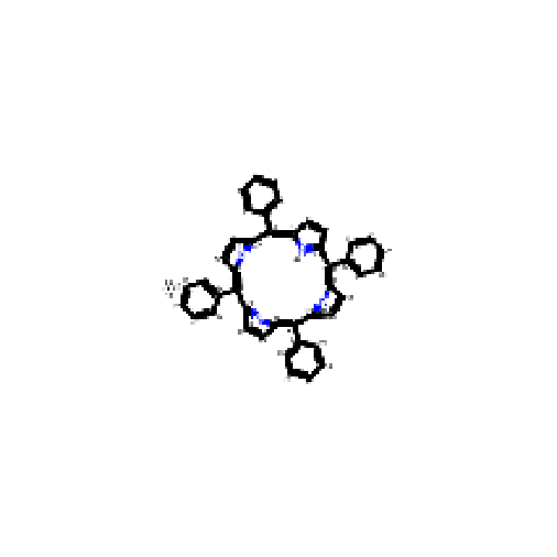 C1=CC2=C(c3ccccc3)C3=NC(=C(c4ccccc4)C4=NC(=C(c5ccccc5)C5=NC(=C(c6ccccc6)C1=N2)C=C5)C=C4)C=C3.[Mn]